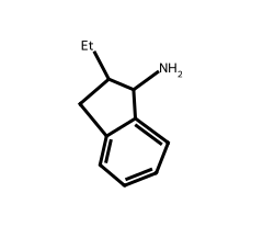 CCC1Cc2ccccc2C1N